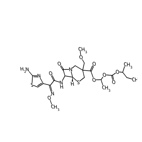 CCC(C)OC(=O)OC(C)OC(=O)C1(COC)CS[C@@H]2C(NC(=O)C(=NOC)c3csc(N)n3)C(=O)N2C1